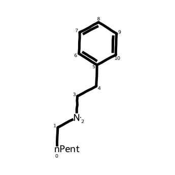 CCCCCC[N]CCc1ccccc1